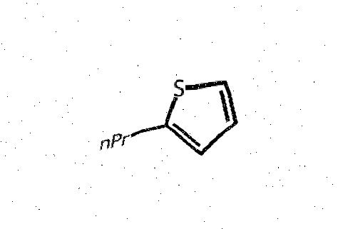 [CH2]CCc1cccs1